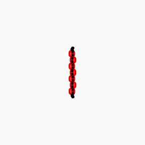 C=CCOCCOCCOCCOCCOCCOCCOCC=C